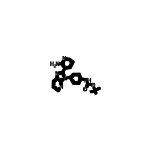 CC(C)(C)OC(=O)Nc1ccc(-n2c(-c3cccnc3N)nc3cccnc32)cc1